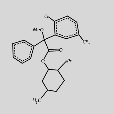 COC(C(=O)OC1CC(C)CCC1C(C)C)(c1ccccc1)c1cc(C(F)(F)F)ccc1Cl